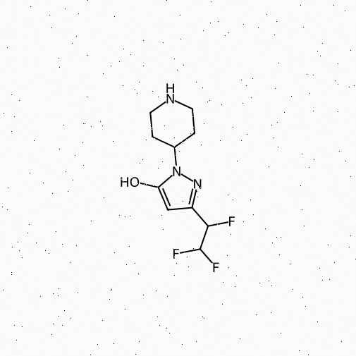 Oc1cc(C(F)C(F)F)nn1C1CCNCC1